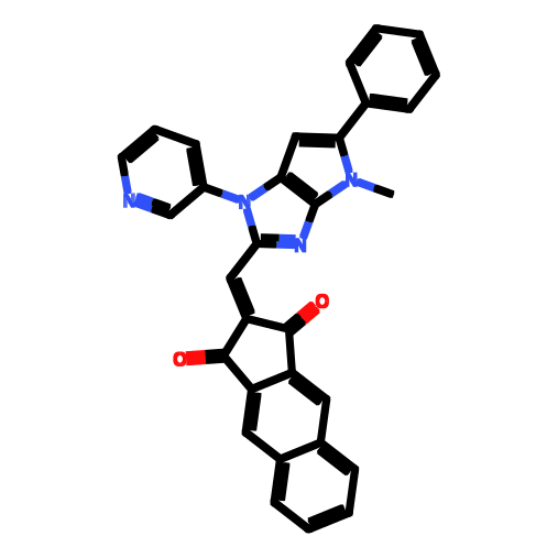 Cn1c(-c2ccccc2)cc2c1nc(C=C1C(=O)c3cc4ccccc4cc3C1=O)n2-c1cccnc1